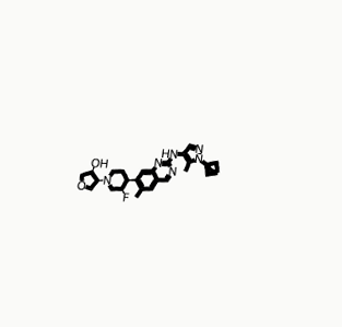 Cc1cc2cnc(Nc3cnn(C45CC(C4)C5)c3C)nc2cc1[C@@H]1CCN([C@@H]2COC[C@@H]2O)C[C@H]1F